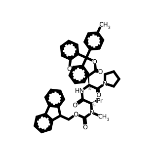 Cc1ccc(C(OC(=O)C[C@H](NC(=O)[C@H](C(C)C)N(C)C(=O)OCC2c3ccccc3-c3ccccc32)C(=O)N2CCCC2)(c2ccccc2)c2ccccc2Cl)cc1